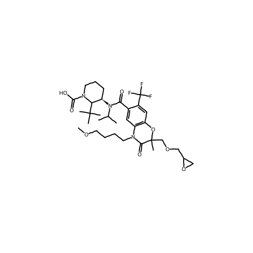 COCCCCN1C(=O)C(C)(COCC2CO2)Oc2cc(C(F)(F)F)c(C(=O)N(C(C)C)[C@@H]3CCCN(C(=O)O)C3C(C)(C)C)cc21